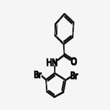 O=C(Nc1c(Br)cccc1Br)c1ccccc1